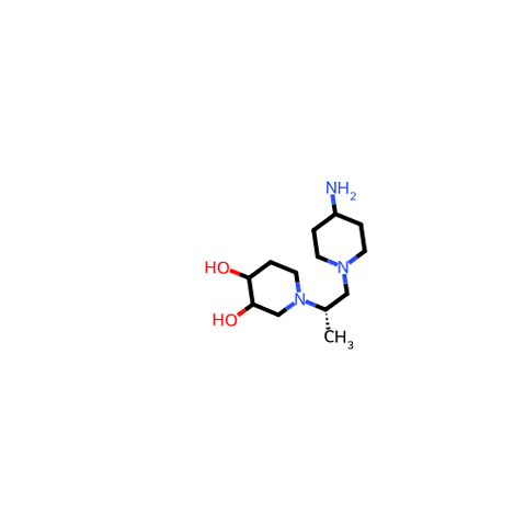 C[C@@H](CN1CCC(N)CC1)N1CCC(O)C(O)C1